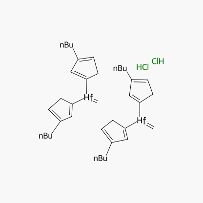 Cl.Cl.[CH2]=[Hf]([C]1=CC(CCCC)=CC1)[C]1=CC(CCCC)=CC1.[CH2]=[Hf]([C]1=CC(CCCC)=CC1)[C]1=CC(CCCC)=CC1